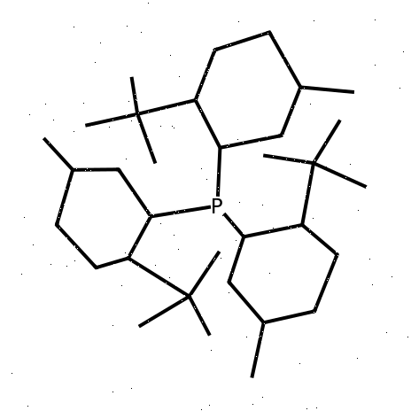 CC1CCC(C(C)(C)C)C(P(C2CC(C)CCC2C(C)(C)C)C2CC(C)CCC2C(C)(C)C)C1